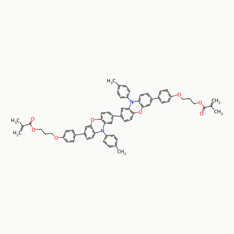 C=C(C)C(=O)OCCCOc1ccc(-c2ccc3c(c2)Oc2ccc(-c4ccc5c(c4)N(c4ccc(C)cc4)c4ccc(-c6ccc(OCCCOC(=O)C(=C)C)cc6)cc4O5)cc2N3c2ccc(C)cc2)cc1